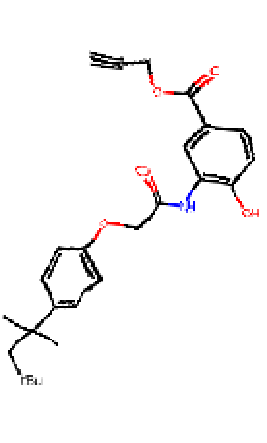 C#CCOC(=O)c1ccc(O)c(NC(=O)COc2ccc(C(C)(C)CC(C)(C)C)cc2)c1